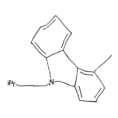 Cc1cccc2c1c1ccccc1n2CC(C)C